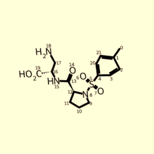 Cc1ccc(S(=O)(=O)N2CCC[C@H]2C(=O)N[C@@H](CN)C(=O)O)cc1